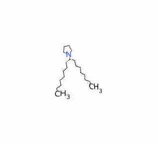 CCCCCCCCC(CCCCCCCC)N1CCCC1